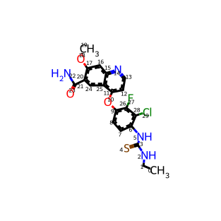 CCNC(=S)Nc1ccc(Oc2ccnc3cc(OC)c(C(N)=O)cc23)c(F)c1Cl